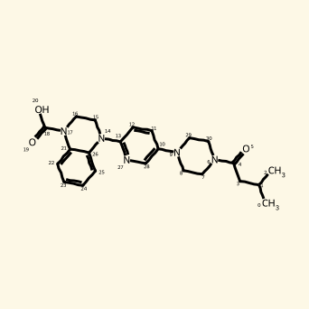 CC(C)CC(=O)N1CCN(c2ccc(N3CCN(C(=O)O)c4ccccc43)nc2)CC1